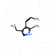 C/C=C\c1c(CC)c[nH]c1C